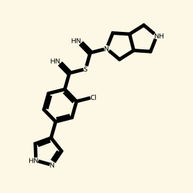 N=C(SC(=N)N1CC2CNCC2C1)c1ccc(-c2cn[nH]c2)cc1Cl